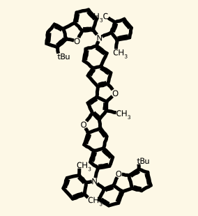 Cc1cccc(C)c1N(c1ccc2cc3c(cc2c1)oc1c(C)c2c(cc13)oc1cc3cc(N(c4c(C)cccc4C)c4cccc5c4oc4c(C(C)(C)C)cccc45)ccc3cc12)c1cccc2c1oc1c(C(C)(C)C)cccc12